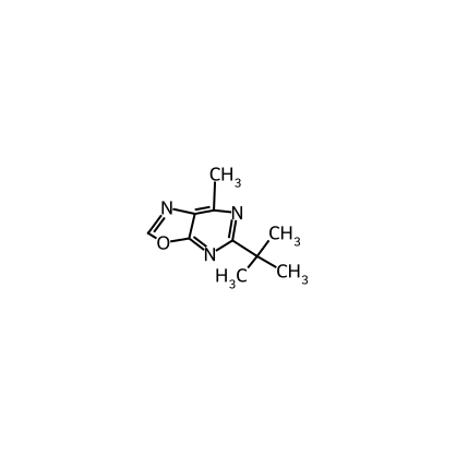 Cc1nc(C(C)(C)C)nc2ocnc12